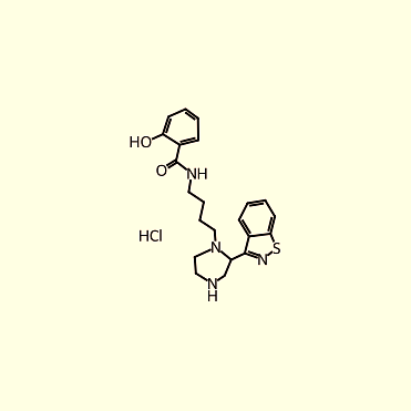 Cl.O=C(NCCCCN1CCNCC1c1nsc2ccccc12)c1ccccc1O